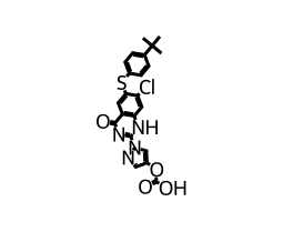 CC(C)(C)c1ccc(Sc2cc3c(=O)nc(-n4cc(OC(=O)O)cn4)[nH]c3cc2Cl)cc1